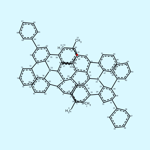 CC(C)c1cc2c3c(cc4c(C(C)C)cc5c6c(cc1c3c46)B(c1c(-c3ccccc3)cc(-c3ccccc3)cc1-c1ccccc1)c1ccccc1-5)B(c1c(-c3ccccc3)cc(-c3ccccc3)cc1-c1ccccc1)c1ccccc1-2